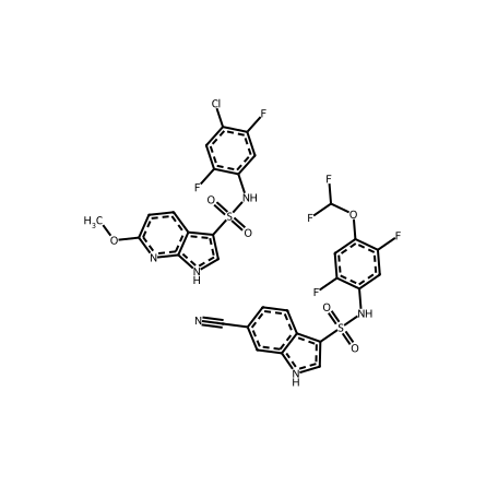 COc1ccc2c(S(=O)(=O)Nc3cc(F)c(Cl)cc3F)c[nH]c2n1.N#Cc1ccc2c(S(=O)(=O)Nc3cc(F)c(OC(F)F)cc3F)c[nH]c2c1